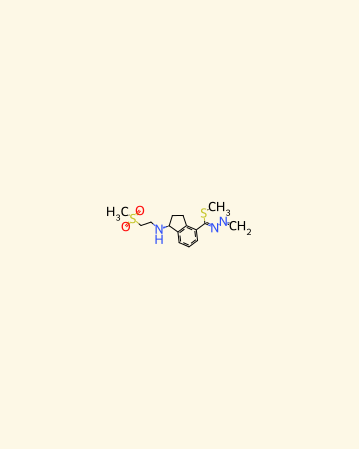 C=N/N=C(\SC)c1cccc2c1CC[C@@H]2NCCS(C)(=O)=O